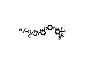 CCOC(=O)N1CCN(c2cccc(OC3CCC(Nc4ccc([N+](=O)[O-])c(C(F)(F)F)c4)CC3)n2)CC1